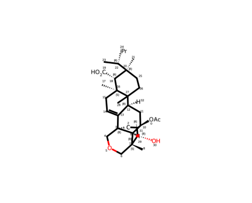 CC(=O)O[C@@H]1C[C@@]23COC[C@](C)([C@@H]2CC[C@H]2C3=CC[C@@]3(C)[C@H](C(=O)O)[C@@](C)([C@H](C)C(C)C)CCC23C)[C@H]1O